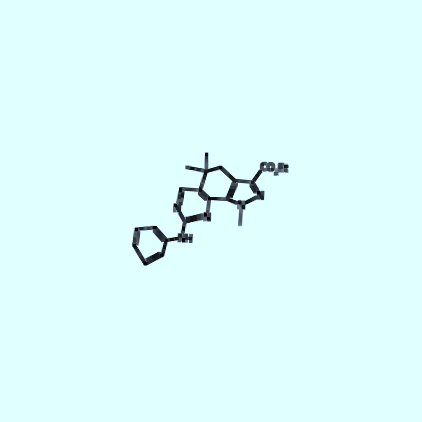 CCOC(=O)c1nn(C)c2c1CC(C)(C)c1cnc(Nc3ccccc3)nc1-2